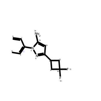 C=C/C(=C\C)n1nc(C2CC(F)(F)C2)cc1N